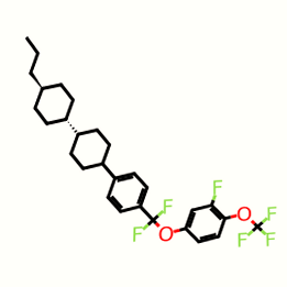 CCC[C@H]1CC[C@H](C2CCC(c3ccc(C(F)(F)Oc4ccc(OC(F)(F)F)c(F)c4)cc3)CC2)CC1